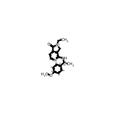 CCN1Cc2c(ccnc2N[C@@H](C)c2ccc(OC)cc2)C1=O